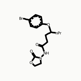 CCCC(CCC(=O)NN1CCOC1=O)Oc1ccc(Br)cc1